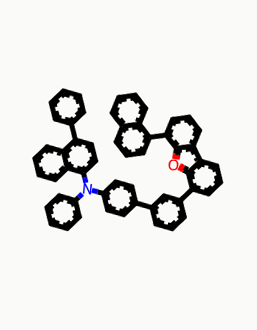 c1ccc(-c2ccc(N(c3ccccc3)c3ccc(-c4cccc(-c5cccc6c5oc5c(-c7cccc8ccccc78)cccc56)c4)cc3)c3ccccc23)cc1